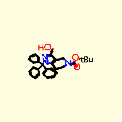 CC(C)(C)OC(=O)N1CCc2c(c(CO)nn2C(c2ccccc2)(c2ccccc2)c2ccccc2)C1